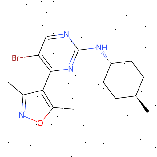 Cc1noc(C)c1-c1nc(N[C@H]2CC[C@H](C)CC2)ncc1Br